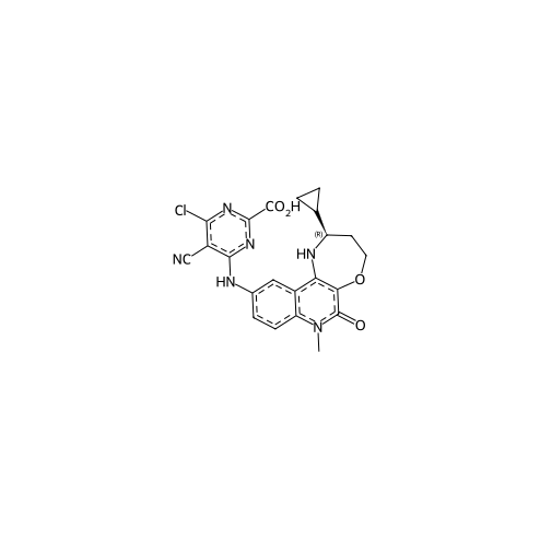 Cn1c(=O)c2c(c3cc(Nc4nc(C(=O)O)nc(Cl)c4C#N)ccc31)N[C@@H](C1CC1)CCO2